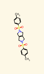 Cc1ccc(S(=O)(=O)N2CC3=C(C2)CN(S(=O)(=O)c2ccc(C)cc2)C3)cc1